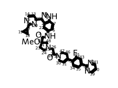 CO[C@@]1(C(=O)Nc2ccc3[nH]nc(-c4ccnc(C5CC5)n4)c3c2)CCN(CC(=O)N2CC=C(c3ccc(-c4ncccn4)cc3F)CC2)C1